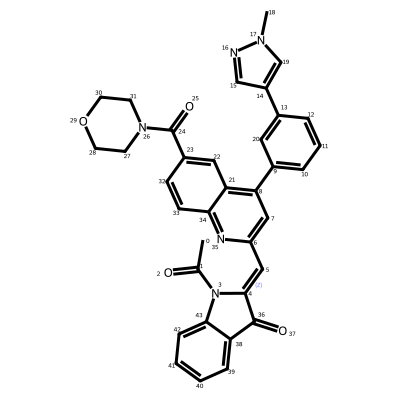 CC(=O)N1/C(=C\c2cc(-c3cccc(-c4cnn(C)c4)c3)c3cc(C(=O)N4CCOCC4)ccc3n2)C(=O)c2ccccc21